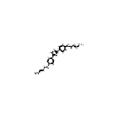 CCC/C=C/COc1ccc(-c2cnc(-c3ccc(OC/C=C/CCC)cc3)o2)cc1